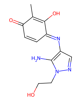 CC1=C(O)/C(=N/c2cnn(CCO)c2N)C=CC1=O